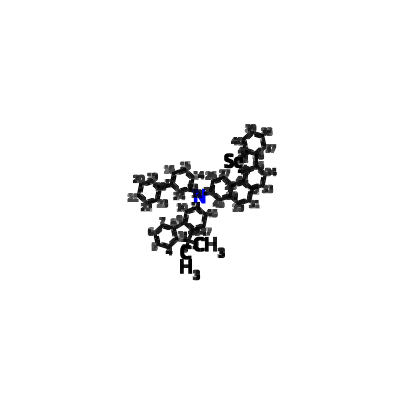 CC1(C)c2ccccc2-c2cc(N(c3cccc(-c4ccccc4)c3)c3ccc4c(ccc5ccc6c7ccccc7[se]c6c54)c3)ccc21